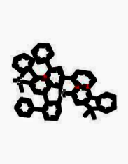 CC1(C)c2ccccc2-c2ccc(N(c3ccc(-c4ccccc4)cc3-c3ccccc3)c3cccc(-c4ccccc4)c3-c3ccc4c(c3)S(C)(C)c3ccccc3-4)cc21